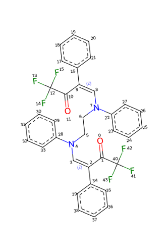 O=C(/C(=C\N(CCN(/C=C(\C(=O)C(F)(F)F)c1ccccc1)c1ccccc1)c1ccccc1)c1ccccc1)C(F)(F)F